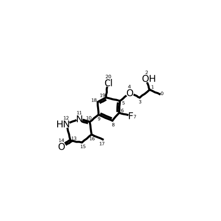 CC(O)COc1c(F)cc(C2=NNC(=O)CC2C)cc1Cl